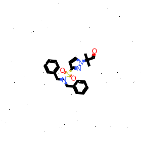 CC(C)(C=O)n1ccc(S(=O)(=O)N(Cc2ccccc2)Cc2ccccc2)n1